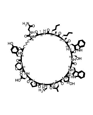 CCCC[C@H]1C(=O)N(C)[C@@H](CCCC)C(=O)N[C@@H](C)C(=O)N[C@H](C(=O)NCC(N)=O)CSCC(=O)N[C@@H](Cc2ccc(O)cc2)C(=O)N2CCOC[C@H]2C(=O)N[C@@H](CC(=O)O)C(=O)N2CCC[C@H]2C(=O)N[C@@H](CN)C(=O)N[C@@H](CC(C)C)C(=O)N2C[C@H](O)C[C@H]2C(=O)N[C@@H](Cc2c[nH]c3ccccc23)C(=O)N[C@@H](CO)C(=O)N[C@@H](Cc2c[nH]c3ccccc23)C(=O)N1C